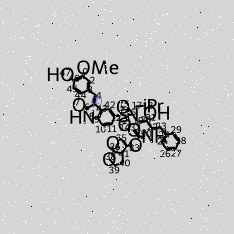 COc1cc(/C=C2\C(=O)Nc3ccc(S(=O)(=O)N(CC(C)C)CC(O)C(Cc4ccccc4)NC(=O)OC4COC5OCCC45)cc32)ccc1O